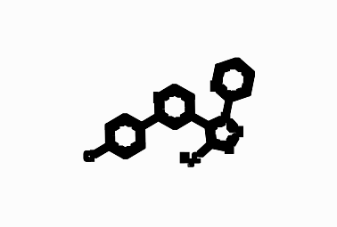 Cc1nnn(-c2ccccn2)c1-c1ccnc(-c2ccc(Cl)cc2)c1